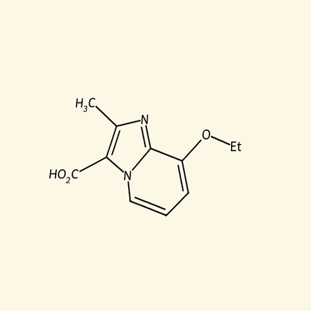 CCOc1cccn2c(C(=O)O)c(C)nc12